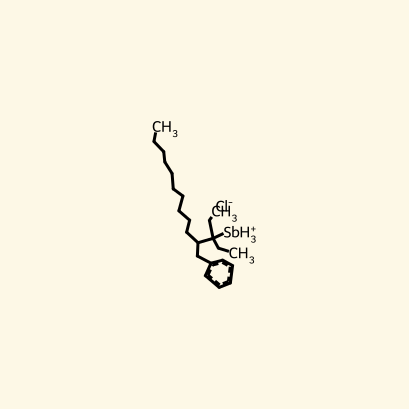 CCCCCCCCCCC(Cc1ccccc1)[C]([SbH3+])(CC)CC.[Cl-]